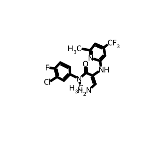 Cc1cc(C(F)(F)F)cc(NC(=CN)C(=O)N(C)c2ccc(F)c(Cl)c2)n1